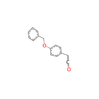 O=C=Cc1ccc(OCc2ccccc2)cc1